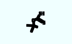 CC(C)(C)OC(=S)S